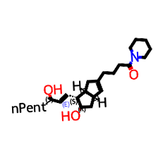 CCCCC[C@H](O)/C=C/[C@@H]1[C@H]2CC(CCCC(=O)N3CCCCC3)=C[C@H]2C[C@H]1O